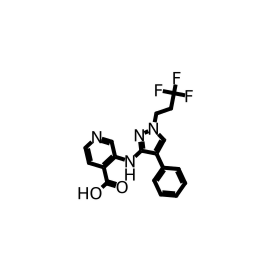 O=C(O)c1ccncc1Nc1nn(CCC(F)(F)F)cc1-c1ccccc1